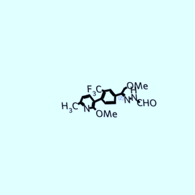 COC/C(=N\NC=O)c1ccc(-c2ccc(C)nc2OC)c(C(F)(F)F)c1